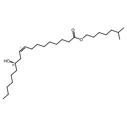 CCCCCC[C@@H](O)C/C=C\CCCCCCCC(=O)OCCCCCC(C)C